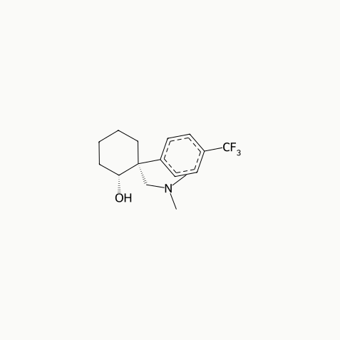 CN(C)C[C@@]1(c2ccc(C(F)(F)F)cc2)CCCC[C@H]1O